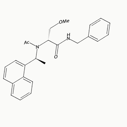 COC[C@H](C(=O)NCc1ccccc1)N(C(C)=O)[C@@H](C)c1cccc2ccccc12